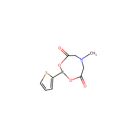 CN1CC(=O)OB(c2cccs2)OC(=O)C1